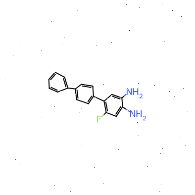 Nc1cc(F)c(-c2ccc(-c3ccccc3)cc2)cc1N